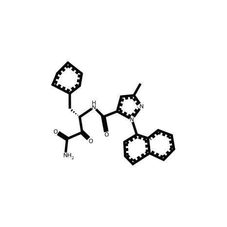 Cc1cc(C(=O)N[C@@H](Cc2ccccc2)C(=O)C(N)=O)n(-c2cccc3ccccc23)n1